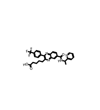 CC(NC(=O)c1ccc2nc(-c3ccc(C(F)(F)F)cc3)c(CCCCC(=O)O)nc2c1)c1ccccn1